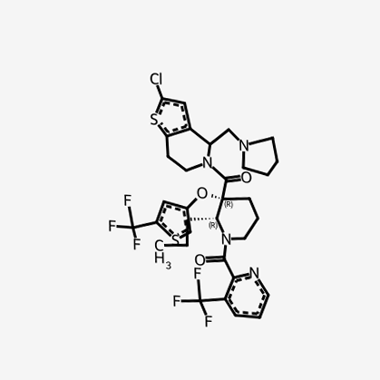 CCC[C@H]1N(C(=O)c2ncccc2C(F)(F)F)CCC[C@]1(Oc1csc(C(F)(F)F)c1)C(=O)N1CCc2sc(Cl)cc2C1CN1CCCC1